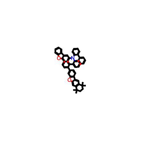 CC1(C)CCC(C)(C)c2cc3c(cc21)oc1cc(-c2ccccc2-c2ccccc2N(c2ccc4oc5ccccc5c4c2)c2ccccc2-c2ccccc2)ccc13